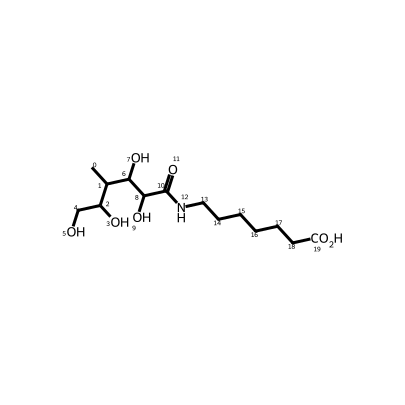 CC(C(O)CO)C(O)C(O)C(=O)NCCCCCCC(=O)O